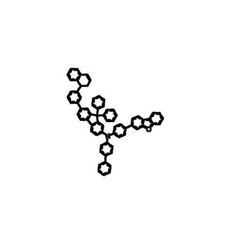 C1=Cc2ccccc2C(c2cccc(-c3ccc4c(c3)C(c3ccccc3)(c3ccccc3)c3cc(N(c5ccc(-c6ccccc6)cc5)c5ccc(-c6ccc7c(c6)oc6ccccc67)cc5)ccc3-4)c2)C1